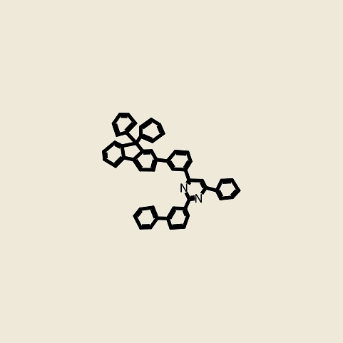 c1ccc(-c2cccc(-c3nc(-c4ccccc4)cc(-c4cccc(-c5ccc6c(c5)C(c5ccccc5)(c5ccccc5)c5ccccc5-6)c4)n3)c2)cc1